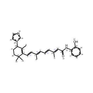 CC1=C(/C=C/C(C)=C/C=C/C(C)=C/C(=O)Nc2ccccc2O)C(C)(C)CCC1n1ccnc1